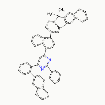 CC1(C)c2ccc(-c3ccc(-c4cc(-c5ccccc5-c5ccc6ccccc6c5)nc(-c5ccccc5)n4)c4ccccc34)cc2-c2cc3ccccc3cc21